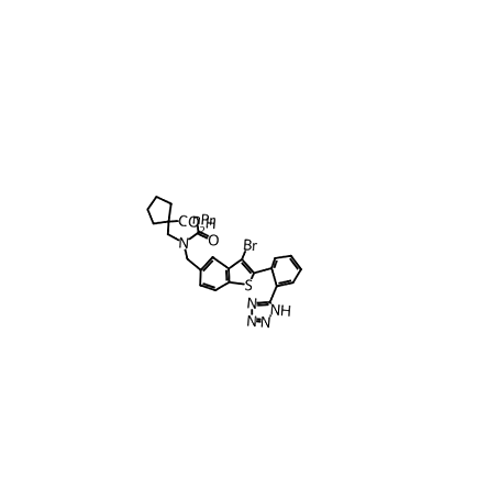 CCCC(=O)N(Cc1ccc2sc(-c3ccccc3-c3nnn[nH]3)c(Br)c2c1)CC1(C(=O)O)CCCC1